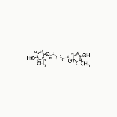 Cc1cc(OCCCCCCOc2ccc(O)c(C)c2)ccc1O